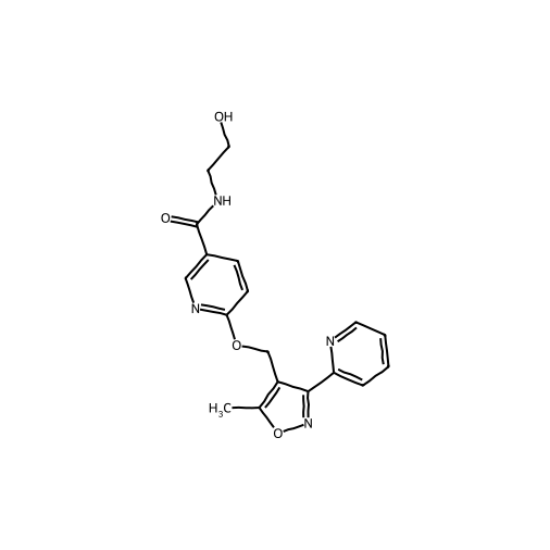 Cc1onc(-c2ccccn2)c1COc1ccc(C(=O)NCCO)cn1